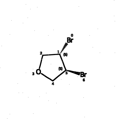 Br[C@H]1COC[C@@H]1Br